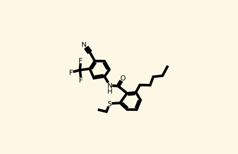 CCCCCc1cccc(SCC)c1C(=O)Nc1ccc(C#N)c(C(F)(F)F)c1